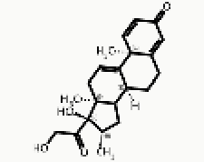 C[C@@H]1CC2[C@@H]3CCC4=CC(=O)C=C[C@]4(C)C3=CC[C@]2(C)[C@@]1(O)C(=O)CO